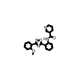 COc1ccccc1-c1noc(-c2ccccc2NC(=O)c2cccnc2)n1